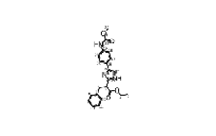 CCOC(=O)C(Cc1ccccc1)c1nc(-c2ccc(NC(=O)OC)cc2)c[nH]1